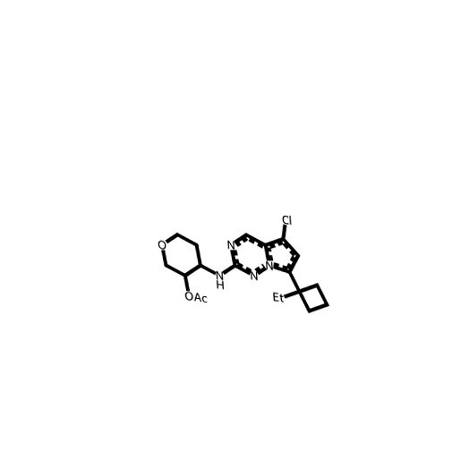 CCC1(c2cc(Cl)c3cnc(NC4CCOCC4OC(C)=O)nn23)CCC1